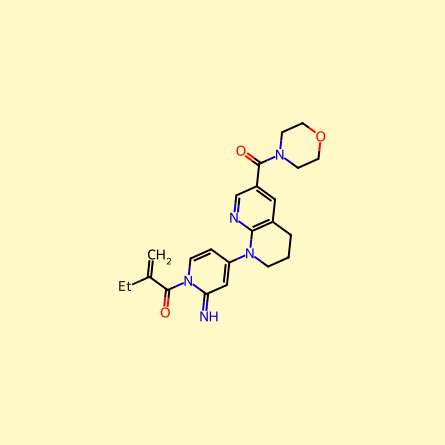 C=C(CC)C(=O)n1ccc(N2CCCc3cc(C(=O)N4CCOCC4)cnc32)cc1=N